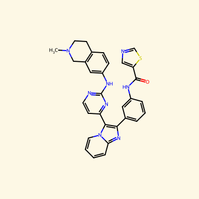 CN1CCc2ccc(Nc3nccc(-c4c(-c5cccc(NC(=O)c6cncs6)c5)nc5ccccn45)n3)cc2C1